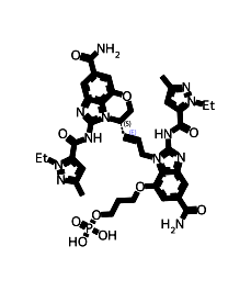 CCn1nc(C)cc1C(=O)Nc1nc2cc(C(N)=O)cc(OCCCOP(=O)(O)O)c2n1C/C=C/[C@H]1COc2cc(C(N)=O)cc3nc(NC(=O)c4cc(C)nn4CC)n1c23